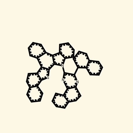 c1ccc2c(-c3nc4ccc5ccccc5c4nc3-n3c4ccccc4c4c5ccccc5c5c6ccc7ccccc7c6sc5c43)cccc2c1